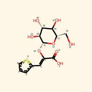 O=C(O)/C(=C/c1cccs1)O[C@H]1O[C@@H](CO)C(O)[C@@H](O)[C@@H]1O